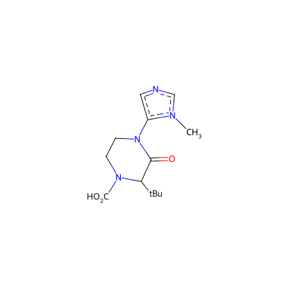 Cn1cncc1N1CCN(C(=O)O)C(C(C)(C)C)C1=O